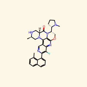 Cc1cccc2cccc(-c3ncc4c5c6c(nc4c3F)OC[C@@H]([C@@H]3CCCN3C)N6C(=O)[C@H]3CN[C@H](C)CN53)c12